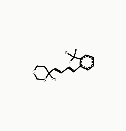 FC(F)(F)c1ccccc1C=CC=CC1(Cl)CCSCS1